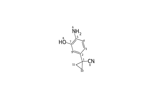 N#CC1(c2ccc(N)c(O)c2)CC1